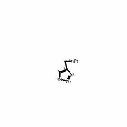 CCCCC1=C[N]N=N1